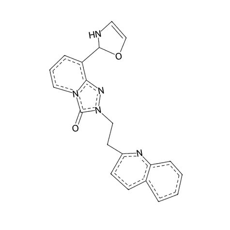 O=c1n(CCc2ccc3ccccc3n2)nc2c(C3NC=CO3)cccn12